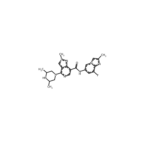 Cc1cn2cc(NC(=O)c3cnc(N4CC(C)NC(C)C4)c4cn(C)nc34)cc(F)c2n1